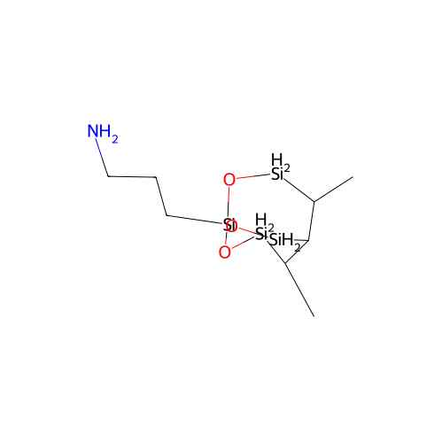 CC1[SiH2]O[Si]2(CCCN)O[SiH2]C(C)C1[SiH2]O2